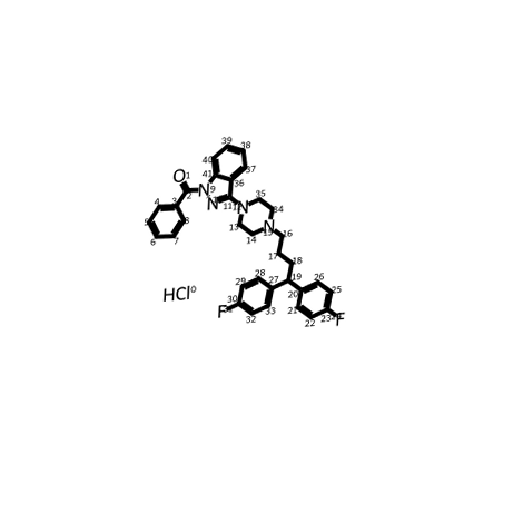 Cl.O=C(c1ccccc1)n1nc(N2CCN(CCCC(c3ccc(F)cc3)c3ccc(F)cc3)CC2)c2ccccc21